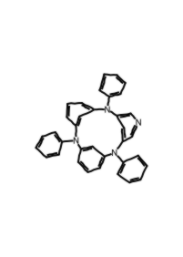 c1ccc(N2c3cccc(c3)N(c3ccccc3)c3cncc(c3)N(c3ccccc3)c3cccc2c3)cc1